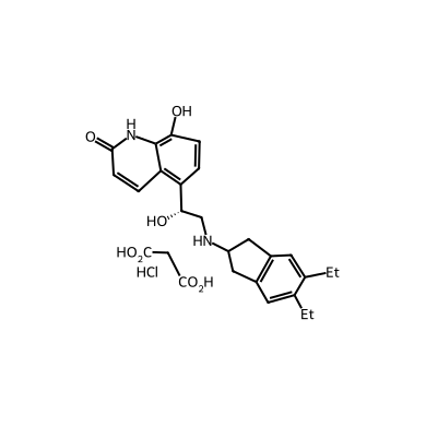 CCc1cc2c(cc1CC)CC(NC[C@H](O)c1ccc(O)c3[nH]c(=O)ccc13)C2.Cl.O=C(O)CC(=O)O